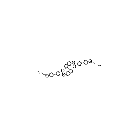 CCCCCCOc1ccc(-c2ccc(C(=O)Oc3ccc4cccc(-c5cccc6ccc(OC(=O)c7ccc(-c8ccc(OCCCCCC)cc8)cc7)cc56)c4c3)cc2)cc1